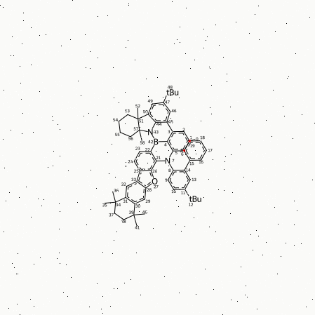 Cc1cc2c3c(c1)N(c1ccc(C(C)(C)C)cc1-c1ccccc1)c1c(ccc4c1oc1cc5c(cc14)C(C)(C)CCC5(C)C)B3N1c3c-2cc(C(C)(C)C)cc3C2(C)CCCCC12C